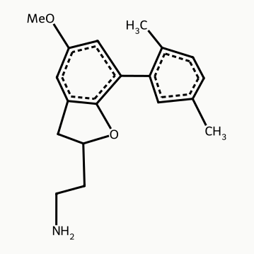 COc1cc2c(c(-c3cc(C)ccc3C)c1)OC(CCN)C2